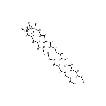 CCCCCCCCCCCCCCCCCC[SiH](C)N(C)[Si](C)(C)CCCCCCCCCCCCCCCCCC